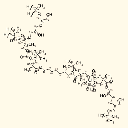 CC(C)(C)OCC(CO)OCC(O)COC(=O)C(C)(COC(=O)OCC(C)(COC(C)(C)C)C(=O)OCCCCCCCOC(=O)C(C)(COC(=O)OCC(C)(COC(=O)C(C)(C)C)C(=O)OCC(O)COC(CO)COC(C)(C)C)COC(C)(C)C)COC(=O)C(C)(C)C